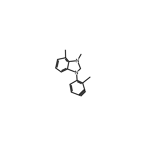 Cc1c#cccc1N1CN(C)c2c(C)cccc21